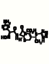 CC(Sc1nnn[nH]1)C1=C(C(=O)O)N2C(=O)[C@@H](NC(=O)C(=NO)c3csc(N)n3)[C@@H]2SC1